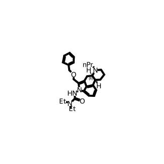 CCCN1CCC[C@@H]2c3cccc4c3c(c(COCc3ccccc3)n4NC(=O)N(CC)CC)C[C@H]21